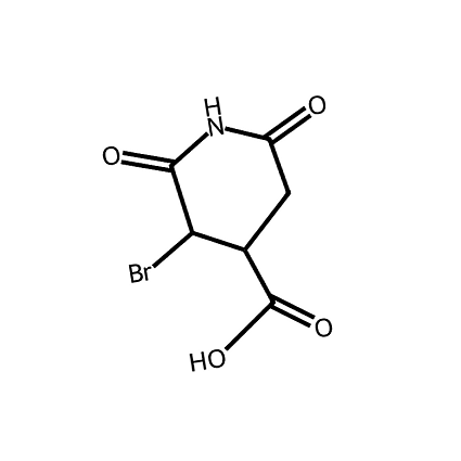 O=C1CC(C(=O)O)C(Br)C(=O)N1